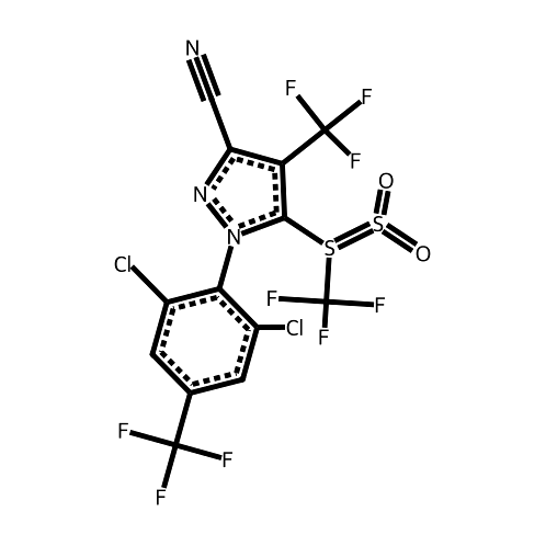 N#Cc1nn(-c2c(Cl)cc(C(F)(F)F)cc2Cl)c(S(=S(=O)=O)C(F)(F)F)c1C(F)(F)F